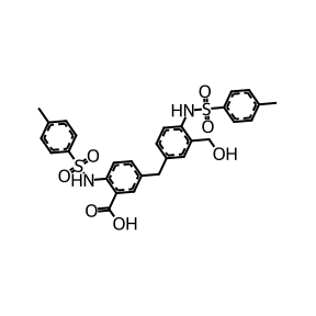 Cc1ccc(S(=O)(=O)Nc2ccc(Cc3ccc(NS(=O)(=O)c4ccc(C)cc4)c(C(=O)O)c3)cc2CO)cc1